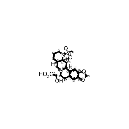 CS(=O)(=O)N1CCC[C@@H]2CN3CCc4cc5c(cc4[C@@H]3C[C@@H]21)OCO5.O=C(O)CO